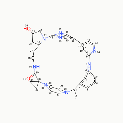 CC1c2cccc(c2)Nc2cc(ccn2)-c2cnc(nc2)N2CC(O)CC2CCNC(=O)C2(CC2)N2CCN1CC2